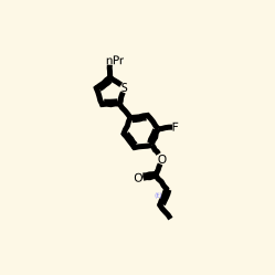 C/C=C/C(=O)Oc1ccc(-c2ccc(CCC)s2)cc1F